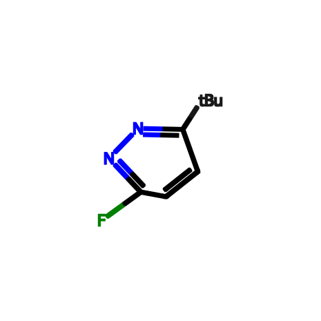 CC(C)(C)c1ccc(F)nn1